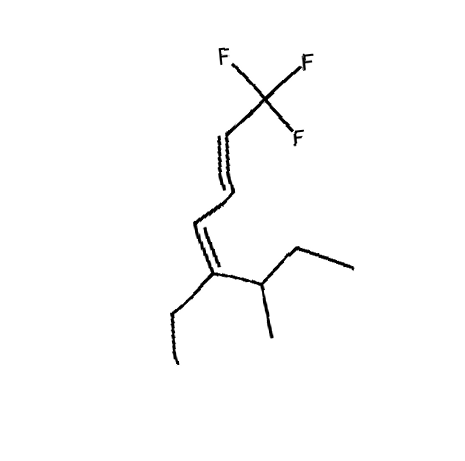 CC/C(=C/C=C/C(F)(F)F)C(C)CC